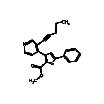 CCCC#Cc1cnccc1-c1cc(-c2ccccc2)sc1C(=O)OC